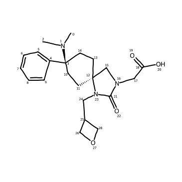 CN(C)[C@]1(c2ccccc2)CC[C@]2(CC1)CN(CC(=O)O)C(=O)N2CC1COC1